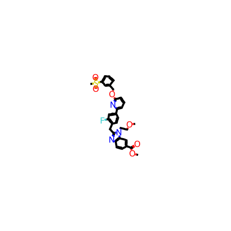 COCCn1c(Cc2ccc(-c3cccc(OCc4cccc(S(C)(=O)=O)c4)n3)cc2F)nc2ccc(C(=O)OC)cc21